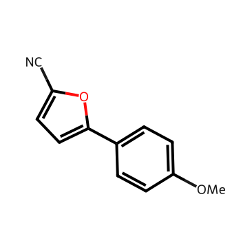 COc1ccc(-c2ccc(C#N)o2)cc1